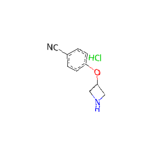 Cl.N#Cc1ccc(OC2CNC2)cc1